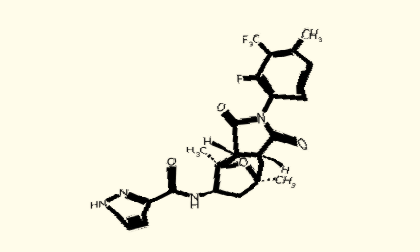 Cc1ccc(N2C(=O)[C@@H]3[C@H](C2=O)[C@@]2(C)C[C@@H](NC(=O)c4cc[nH]n4)[C@]3(C)O2)c(F)c1C(F)(F)F